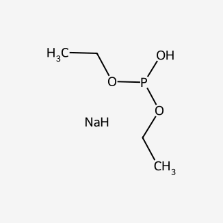 CCOP(O)OCC.[NaH]